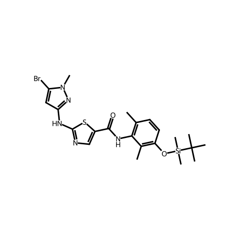 Cc1ccc(O[Si](C)(C)C(C)(C)C)c(C)c1NC(=O)c1cnc(Nc2cc(Br)n(C)n2)s1